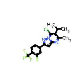 Cc1nc2cc(-c3ccc(C(F)(F)F)c(F)c3)nn2c(Cl)c1C(C)C